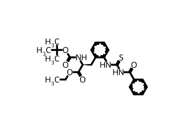 CCOC(=O)[C@H](Cc1ccccc1NC(=S)NC(=O)c1ccccc1)NC(=O)OC(C)(C)C